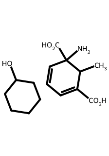 CC1C(C(=O)O)=CC=CC1(N)C(=O)O.OC1CCCCC1